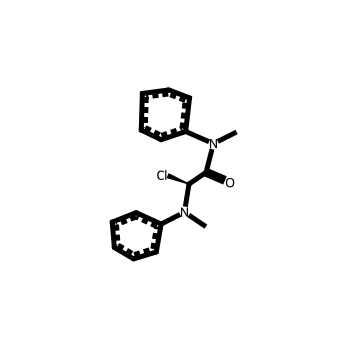 CN(C(=O)[C@H](Cl)N(C)c1ccccc1)c1ccccc1